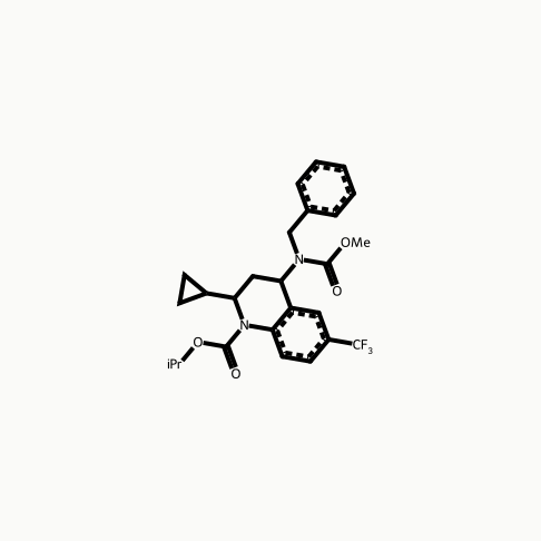 COC(=O)N(Cc1ccccc1)C1CC(C2CC2)N(C(=O)OC(C)C)c2ccc(C(F)(F)F)cc21